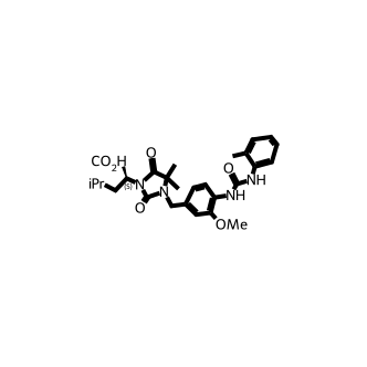 COc1cc(CN2C(=O)N([C@@H](CC(C)C)C(=O)O)C(=O)C2(C)C)ccc1NC(=O)Nc1ccccc1C